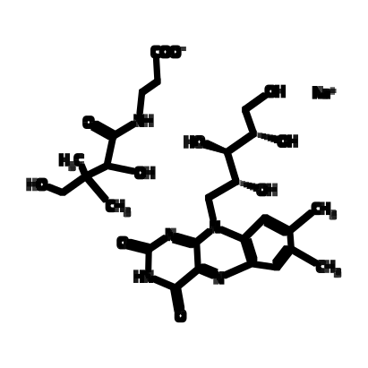 CC(C)(CO)C(O)C(=O)NCCC(=O)[O-].Cc1cc2nc3c(=O)[nH]c(=O)nc-3n(C[C@@H](O)[C@@H](O)[C@@H](O)CO)c2cc1C.[Na+]